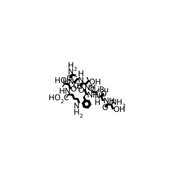 CC[C@H](C)[C@H](NC(=O)CNC(=O)[C@@H](N)CO)C(=O)N[C@@H](Cc1ccccc1)C(=O)N[C@H](C(=O)N[C@@H](CC(N)=O)C(=O)N[C@H](C(=O)N[C@@H](CCCCN)C(=O)O)[C@@H](C)O)[C@@H](C)O